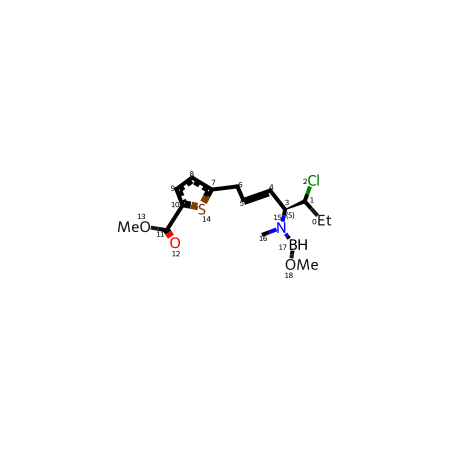 CCC(Cl)[C@H](C=CCc1ccc(C(=O)OC)s1)N(C)BOC